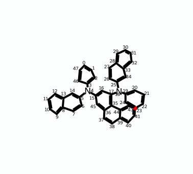 c1ccc(N(c2ccc3ccccc3c2)c2cc(N(c3ccccc3)c3ccc4ccccc4c3)c3c(ccc4ccccc43)c2)cc1